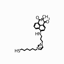 CN1C(=O)c2cccc3c(NCCCn4cc[n+](CCCCCCS)c4)ccc(c23)C1=O